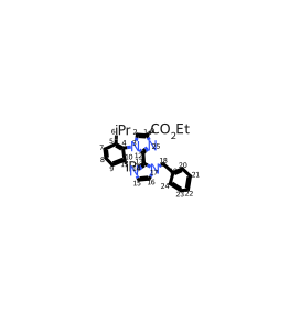 CCOC(=O)c1cn(-c2c(C(C)C)cccc2C(C)C)c(-c2nccn2Cc2ccccc2)n1